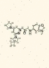 CN1COc2ccc(NCC(=O)CN3CC(N4CCCC4)=CC(N4CCC5(CCC5)C4)=N3)cc21